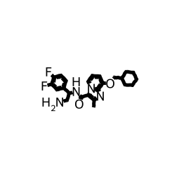 Cc1nc2c(OCC3CCCCC3)cccn2c1C(=O)NC(CN)c1ccc(F)c(F)c1